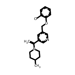 C=C(c1cncc(COc2ccccc2Cl)c1)N1CCC(C)CC1